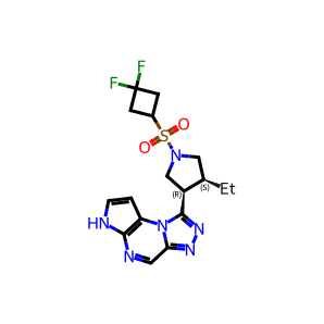 CC[C@@H]1CN(S(=O)(=O)C2CC(F)(F)C2)C[C@@H]1c1nnc2cnc3[nH]ccc3n12